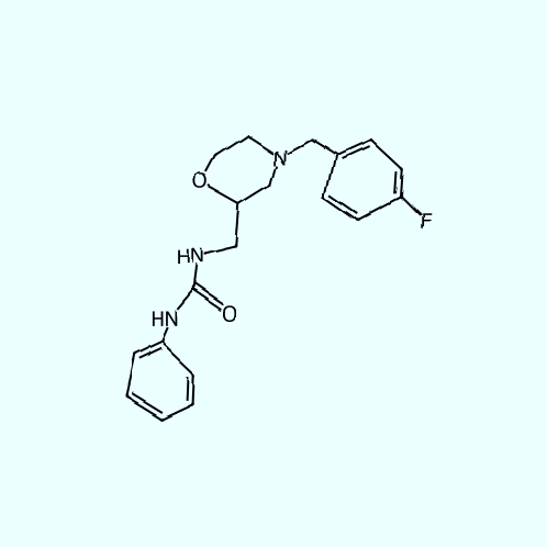 O=C(NCC1CN(Cc2ccc(F)cc2)CCO1)Nc1ccccc1